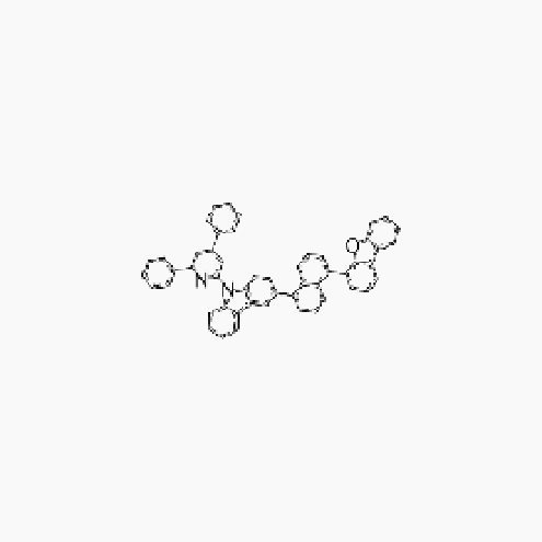 c1ccc(-c2cc(-c3ccccc3)nc(-n3c4ccccc4c4cc(-c5cccc6c(-c7cccc8c7oc7ccccc78)cccc56)ccc43)c2)cc1